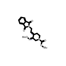 CO/N=C1/CN(C(=O)OC(C)(C)C)CC/C1=C\CN1C(=O)c2ccccc2C1=O